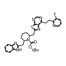 CC(C)(C)OC(=O)N1C(Cc2nc3ccccc3[nH]2)CCCC1Cc1nc2c(CCc3ncccc3F)ncnc2s1